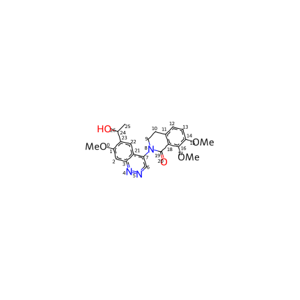 COc1cc2nncc(N3CCc4ccc(OC)c(OC)c4C3=O)c2cc1C(C)O